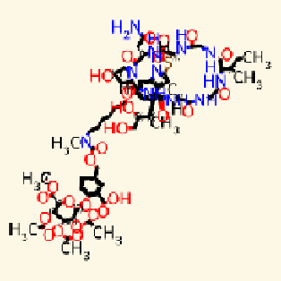 CC[C@H](C)C1NC(=O)CNC(=O)[C@@H]2Cc3c([nH]c4cc(OCCCCCCN(C)C(=O)OCc5ccc(O[C@@H]6O[C@H](C(=O)OC)[C@@H](OC(C)=O)[C@H](OC(C)=O)[C@H]6OC(C)=O)c(C(=O)O)c5)ccc34)[S+]([O-])[C@H](NC(=O)CNC1=O)C(=O)N[C@@H](CC(N)=O)C(=O)N1C[C@H](O)C[C@H]1C(=O)N[C@@H]([C@@H](C)[C@@H](O)CO)C(=O)N2